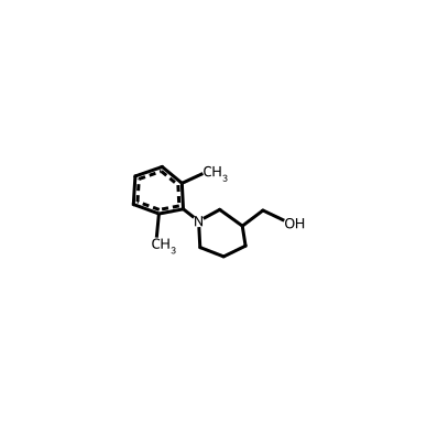 Cc1cccc(C)c1N1CCCC(CO)C1